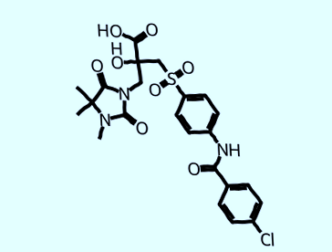 CN1C(=O)N(CC(O)(CS(=O)(=O)c2ccc(NC(=O)c3ccc(Cl)cc3)cc2)C(=O)O)C(=O)C1(C)C